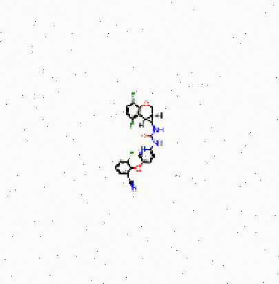 N#Cc1cccc(F)c1Oc1ccc(NC(=O)NC2[C@H]3COc4c(F)ccc(F)c4[C@@H]23)nc1